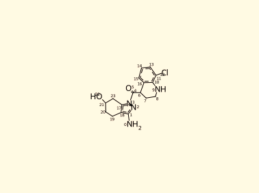 Nc1nn(C(=O)C2CCNc3c(Cl)cccc32)c2c1CCC(O)C2